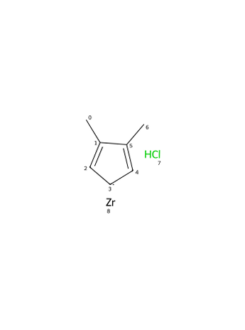 CC1=C[CH]C=C1C.Cl.[Zr]